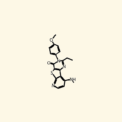 CCc1nc2c(sc3nccc(NC)c32)c(=O)n1-c1ccc(OC)cc1